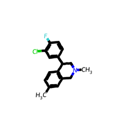 Cc1ccc2c(c1)CN(C)CC2c1ccc(F)c(Cl)c1